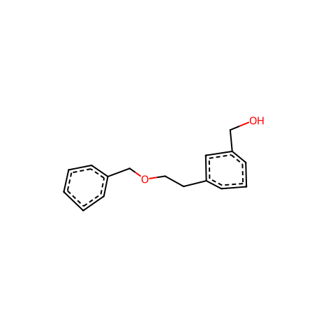 OCc1cccc(CCOCc2ccccc2)c1